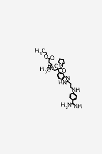 CCOC(=O)CCN(C)CC(C)(C(=O)N1CCCC1)c1ccc2[nH]c(CCNc3ccc(C(=N)N)cc3)nc2c1